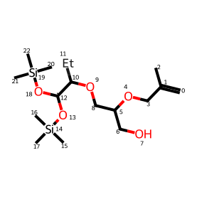 C=C(C)COC(CO)COC(CC)[C](O[Si](C)(C)C)O[Si](C)(C)C